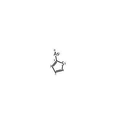 [As]c1cccs1